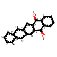 O=C1c2ccccc2C(=O)c2cc3cc4ccccc4cc3cc21